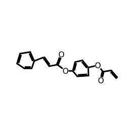 C=CC(=O)Oc1ccc(OC(=O)/C=C/c2ccccc2)cc1